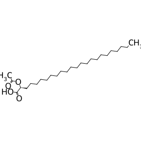 CCCCCCCCCCCCCCCCCCCCCC[C@H](OC(C)=O)C(=O)O